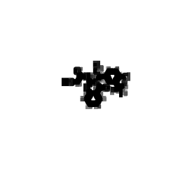 C[C@H](c1ccc(Cl)c(C(F)(F)F)c1)n1c(NC(=O)CO)nc2ccccc2c1=O